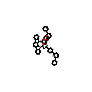 c1ccc(-c2cccc(-c3cccc(-n4c5ccccc5c5ccc6c7ccccc7n(-c7nc(-c8ccccc8)nc(-c8ccc(-c9cccc(-c%10ccccc%10)n9)cc8)n7)c6c54)c3)c2)cc1